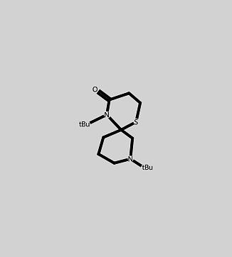 CC(C)(C)N1CCCC2(C1)SCCC(=O)N2C(C)(C)C